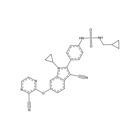 N#Cc1nccnc1Oc1ccc2c(C#N)c(-c3ccc(NS(=O)(=O)NCC4CC4)cc3)n(C3CC3)c2c1